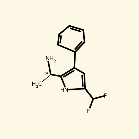 C[C@H](N)c1[nH]c(C(F)F)cc1-c1ccccc1